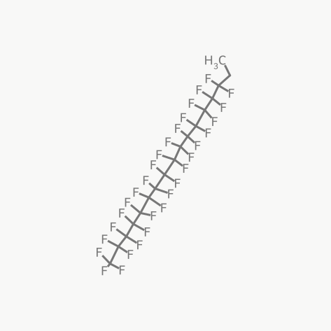 CCC(F)(F)C(F)(F)C(F)(F)C(F)(F)C(F)(F)C(F)(F)C(F)(F)C(F)(F)C(F)(F)C(F)(F)C(F)(F)C(F)(F)C(F)(F)C(F)(F)C(F)(F)F